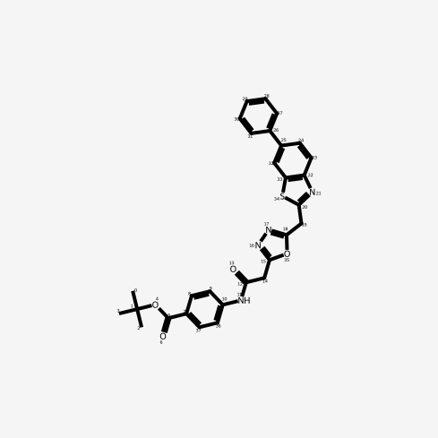 CC(C)(C)OC(=O)c1ccc(NC(=O)Cc2nnc(Cc3nc4ccc(-c5ccccc5)cc4s3)o2)cc1